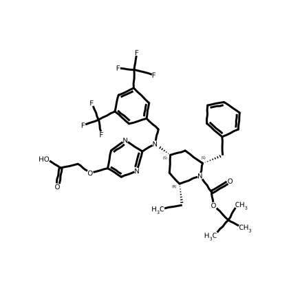 CC[C@@H]1C[C@H](N(Cc2cc(C(F)(F)F)cc(C(F)(F)F)c2)c2ncc(OCC(=O)O)cn2)C[C@H](Cc2ccccc2)N1C(=O)OC(C)(C)C